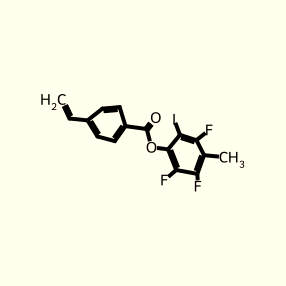 C=Cc1ccc(C(=O)Oc2c(F)c(F)c(C)c(F)c2I)cc1